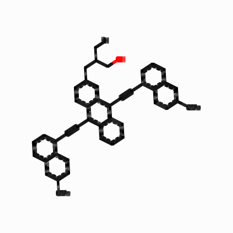 [2H]CC(CO)Cc1ccc2c(C#Cc3cccc4cc(OC)ccc34)c3ccccc3c(C#Cc3cccc4cc(OC)ccc34)c2c1